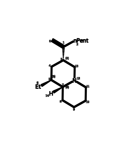 C=C(CCCCC)[C@H]1C[C@H](CC)[C@H]2CCCCN2C1